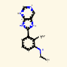 COc1c(NCC#N)cccc1-c1nc2cncnc2[nH]1